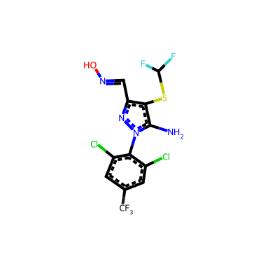 Nc1c(SC(F)F)c(C=NO)nn1-c1c(Cl)cc(C(F)(F)F)cc1Cl